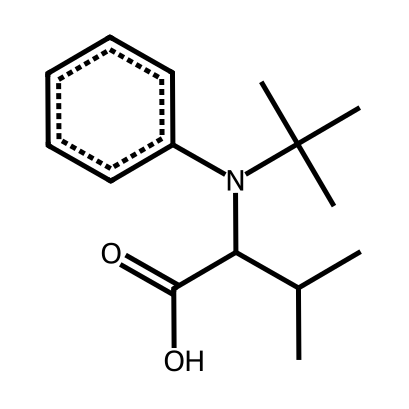 CC(C)C(C(=O)O)N(c1ccccc1)C(C)(C)C